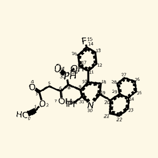 C#COC(=O)CC(O)C(c1c(-c2ccc(F)cc2)cc(-c2cccc3ccccc23)nc1C(C)C)[PH](=O)O